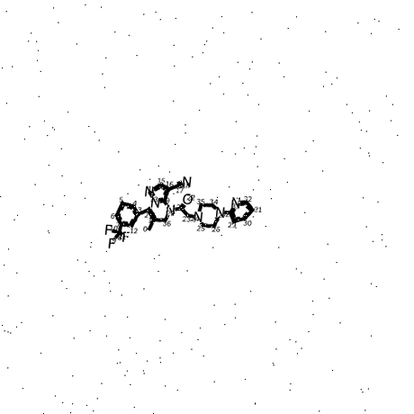 CC1=C(c2cccc(C(F)(F)F)c2)n2ncc(C#N)c2N(C(=O)CN2CCN(c3ccccn3)CC2)C1